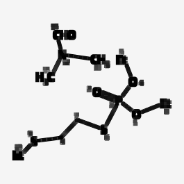 CCOP(=O)(OCC)SCCSCC.CN(C)C=O